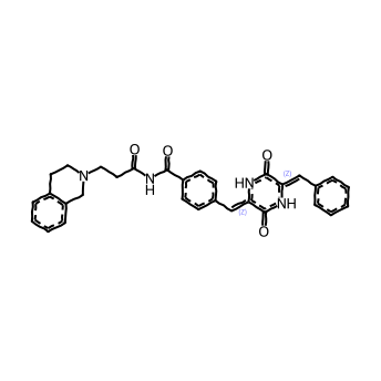 O=C(CCN1CCc2ccccc2C1)NC(=O)c1ccc(/C=c2\[nH]c(=O)/c(=C/c3ccccc3)[nH]c2=O)cc1